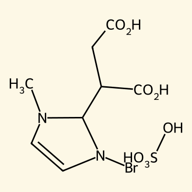 CN1C=CN(Br)C1C(CC(=O)O)C(=O)O.O=S(=O)(O)O